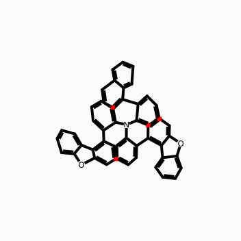 c1ccc(N(c2ccccc2-c2cccc3oc4ccccc4c23)c2ccccc2-c2cccc3oc4ccccc4c23)c(-c2cccc3ccccc23)c1